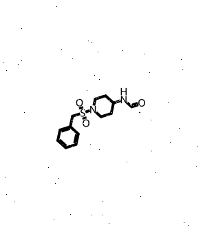 O=CNC1CCN(S(=O)(=O)Cc2ccccc2)CC1